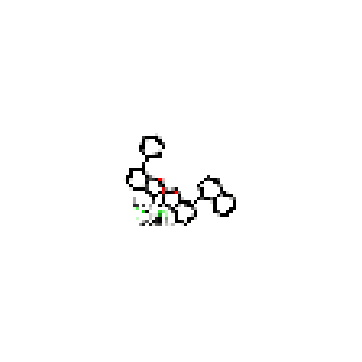 C[CH2][Zr]([Cl])([Cl])([SiH2]C)([CH]1C(C)=Cc2c(-c3ccccc3)cccc21)[CH]1C(C)=Cc2c(-c3cccc4ccccc34)cccc21